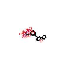 O=P(O)(O)C(O)(Cc1cccc(-c2ccc3oc4ccccc4c3c2)c1)P(=O)(O)O